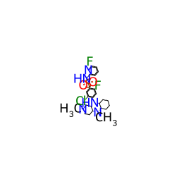 CN1CCC(N(C)[C@H]2CCCC[C@@H]2Nc2cc(F)c(S(=O)(=O)Nc3cccc(F)n3)cc2Cl)CC1